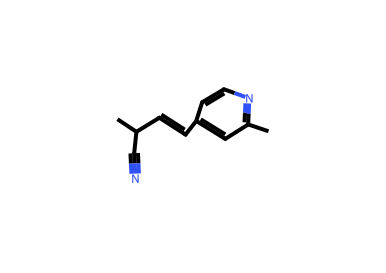 Cc1cc(C=CC(C)C#N)ccn1